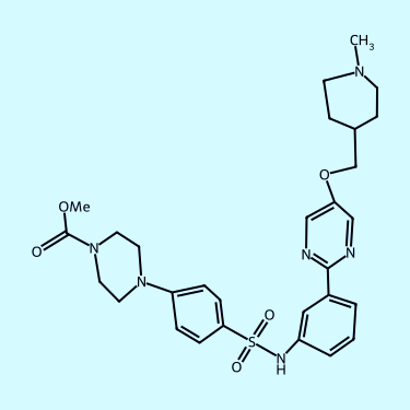 COC(=O)N1CCN(c2ccc(S(=O)(=O)Nc3cccc(-c4ncc(OCC5CCN(C)CC5)cn4)c3)cc2)CC1